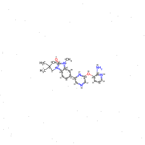 Cn1c(=O)n(CC(C)(C)C)c2ccc(-c3cncc(Oc4cccnc4N)n3)cc21